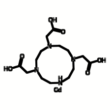 O=C(O)CN1CCNCCN(CC(=O)O)CCN(CC(=O)O)CC1.[Gd]